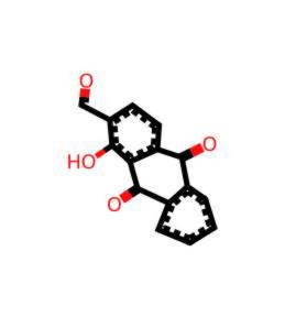 O=Cc1ccc2c(c1O)C(=O)c1ccccc1C2=O